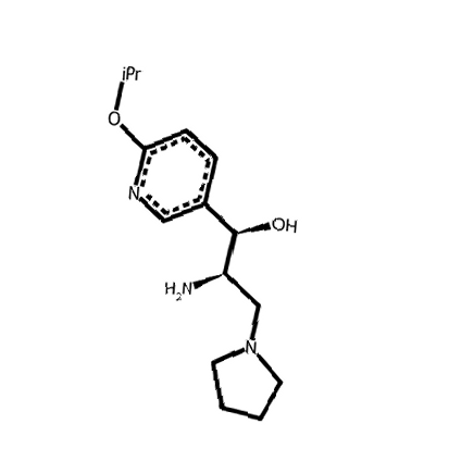 CC(C)Oc1ccc([C@@H](O)[C@H](N)CN2CCCC2)cn1